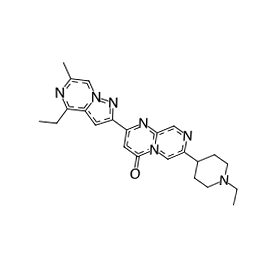 CCc1nc(C)cn2nc(-c3cc(=O)n4cc(C5CCN(CC)CC5)ncc4n3)cc12